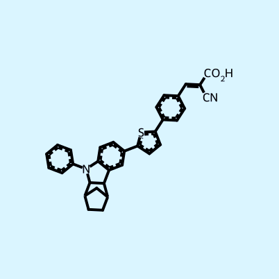 N#C/C(=C\c1ccc(-c2ccc(-c3ccc4c(c3)C3C5CCC(C5)C3N4c3ccccc3)s2)cc1)C(=O)O